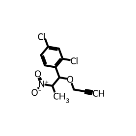 C#CCOC(c1ccc(Cl)cc1Cl)C(C)[N+](=O)[O-]